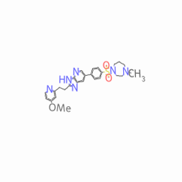 COc1ccnc(CCc2nc3cc(-c4ccc(S(=O)(=O)N5CCCN(C)CC5)cc4)cnc3[nH]2)c1